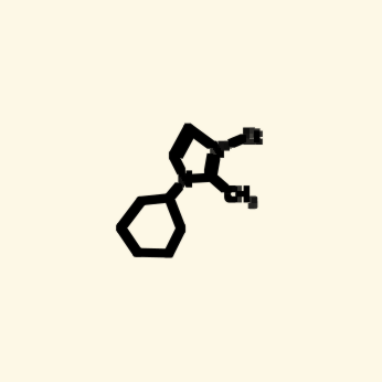 CC[n+]1ccn(C2CCCCC2)c1C